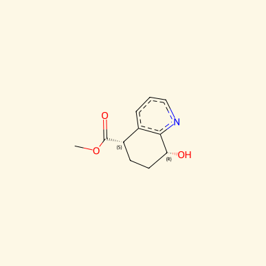 COC(=O)[C@H]1CC[C@@H](O)c2ncccc21